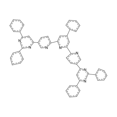 c1ccc(-c2cc(-c3ccc(-c4cc(-c5ccccc5)nc(-c5ccccc5)n4)cn3)nc(-c3ccc(-c4cc(-c5ccccc5)nc(-c5ccccc5)n4)cn3)c2)cc1